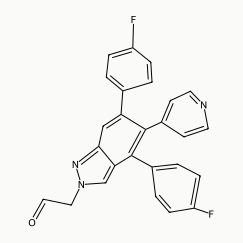 O=CCn1cc2c(-c3ccc(F)cc3)c(-c3ccncc3)c(-c3ccc(F)cc3)cc2n1